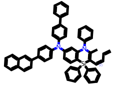 C=C/C=C\C1=C(C)N(c2ccccc2)c2cc(N(c3ccc(-c4ccccc4)cc3)c3ccc(-c4ccc5ccccc5c4)cc3)ccc2[Si]1(c1ccccc1)c1ccccc1